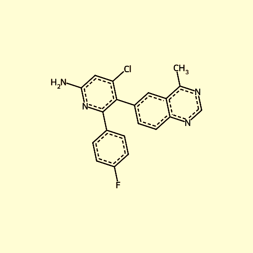 Cc1ncnc2ccc(-c3c(Cl)cc(N)nc3-c3ccc(F)cc3)cc12